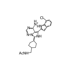 CC(=O)NCC1CCC(=C2NC(c3cc4cccc(Cl)c4[nH]3)=C3C(N)=NC=NN23)CC1